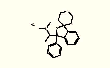 CC(N(C)C)C1(c2ccccc2)OC2(CCOCC2)c2ccccc21.Cl